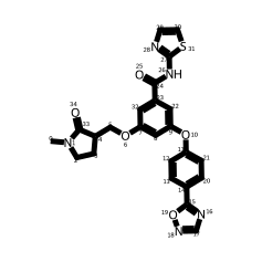 CN1CCC(COc2cc(Oc3ccc(-c4ncno4)cc3)cc(C(=O)Nc3nccs3)c2)C1=O